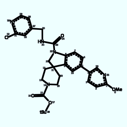 COc1ccc(-c2ccc3c(c2)C2(CCN(C(=O)OC(C)(C)C)CC2)CN3C(=O)NCc2ccnc(Cl)c2)cn1